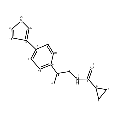 CC(CNC(=O)C1CC1)c1ccc(-c2ccsc2)cc1